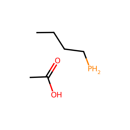 CC(=O)O.CCCCP